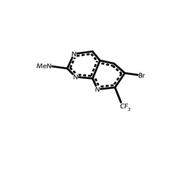 CNc1ncc2cc(Br)c(C(F)(F)F)nc2n1